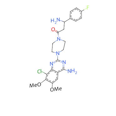 COc1cc2c(N)nc(N3CCN(C(=O)CC(N)c4ccc(F)cc4)CC3)nc2c(Cl)c1OC